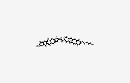 CCCCCCc1ccc2cc3cc4cc(/C=C/c5cc6cc7cc8cc9cc(C)sc9cc8cc7cc6s5)ccc4cc3cc2c1